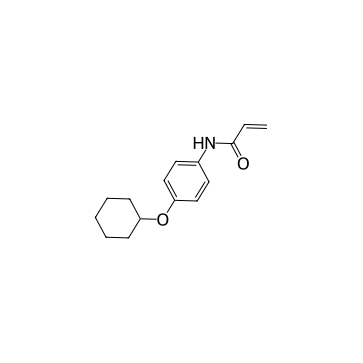 C=CC(=O)Nc1ccc(OC2CCCCC2)cc1